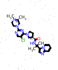 C[C@@H]1CN(c2ncc(Cl)c(N3CC[C@@H](C(=O)NC(C)(C)c4cnc5ccccn45)C3)n2)CCN1C